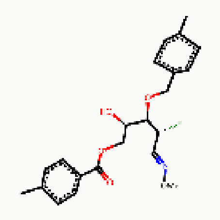 CON=C[C@@H](F)[C@H](OCc1ccc(C)cc1)[C@H](O)COC(=O)c1ccc(C)cc1